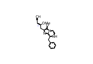 C#C/C=C(/Cc1nc2c(Cc3ccccc3)[nH]ccn-2c1=O)OC